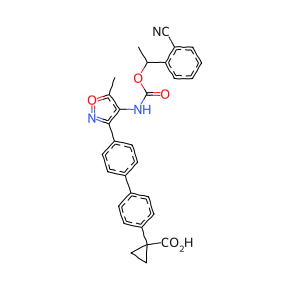 Cc1onc(-c2ccc(-c3ccc(C4(C(=O)O)CC4)cc3)cc2)c1NC(=O)OC(C)c1ccccc1C#N